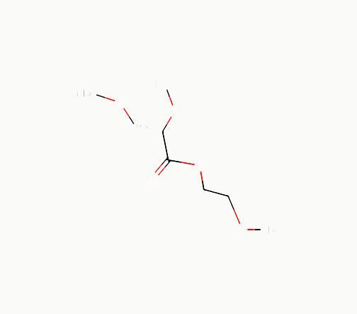 CCCCOCCOC(=O)[C@H](COCCCC)OCCCC